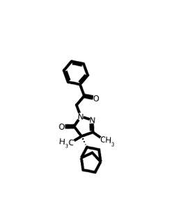 CC1=NN(CC(=O)c2ccccc2)C(=O)C1(C)[C@@H]1CC2CCC1C2